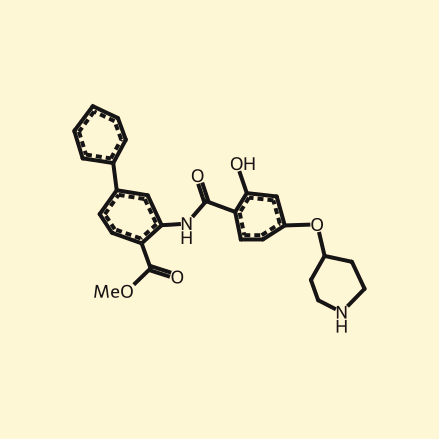 COC(=O)c1ccc(-c2ccccc2)cc1NC(=O)c1ccc(OC2CCNCC2)cc1O